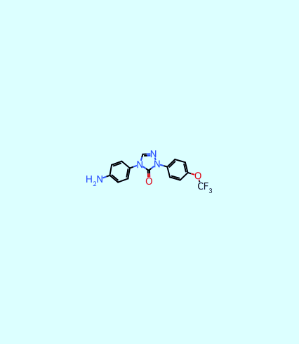 Nc1ccc(-n2cnn(-c3ccc(OC(F)(F)F)cc3)c2=O)cc1